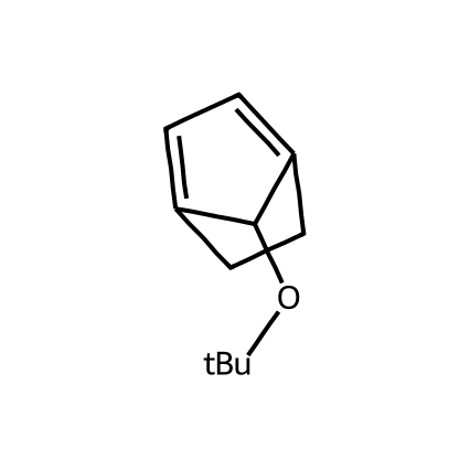 CC(C)(C)OC1C2=CC=C1CC2